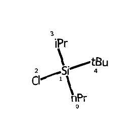 CCC[Si](Cl)(C(C)C)C(C)(C)C